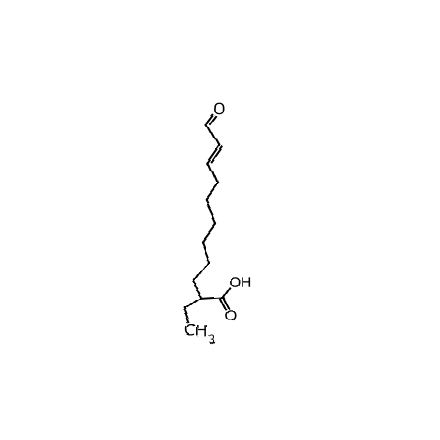 CCC(CCCCCCC=CC=O)C(=O)O